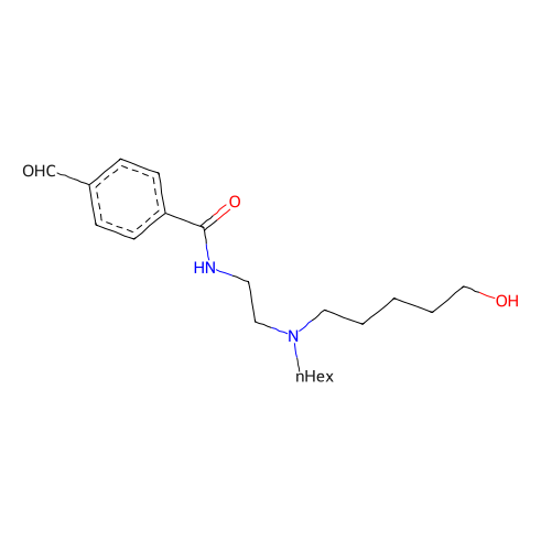 CCCCCCN(CCCCCO)CCNC(=O)c1ccc(C=O)cc1